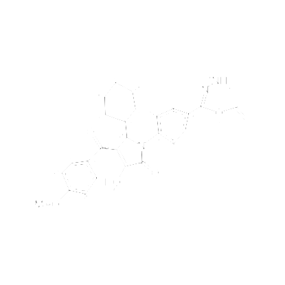 C=CO/C(=N\N)c1ccc(N2C(=O)C(O)=C(C(=O)c3ccc(OC)cc3)C2C2CCCCC2)cc1